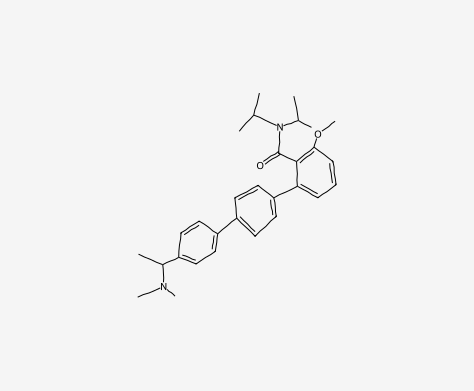 COc1cccc(-c2ccc(-c3ccc(C(C)N(C)C)cc3)cc2)c1C(=O)N(C(C)C)C(C)C